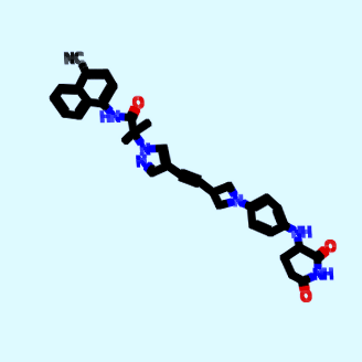 CC(C)(C(=O)Nc1ccc(C#N)c2ccccc12)n1cc(C#CC2CN(c3ccc(NC4CCC(=O)NC4=O)cc3)C2)cn1